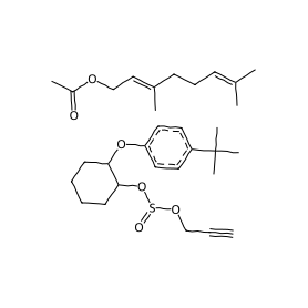 C#CCOS(=O)OC1CCCCC1Oc1ccc(C(C)(C)C)cc1.CC(=O)OC/C=C(\C)CCC=C(C)C